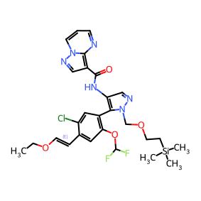 CCO/C=C/c1cc(OC(F)F)c(-c2c(NC(=O)c3cnn4cccnc34)cnn2COCC[Si](C)(C)C)cc1Cl